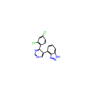 Clc1ccc(-c2n[c]ncc2-c2cccc3[nH]nnc23)c(Cl)c1